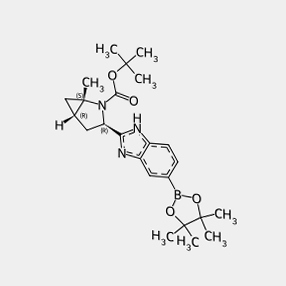 CC(C)(C)OC(=O)N1[C@@H](c2nc3cc(B4OC(C)(C)C(C)(C)O4)ccc3[nH]2)C[C@@H]2C[C@@]21C